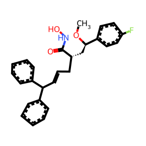 CO[C@H](C[C@H](CC=CC(c1ccccc1)c1ccccc1)C(=O)NO)c1ccc(F)cc1